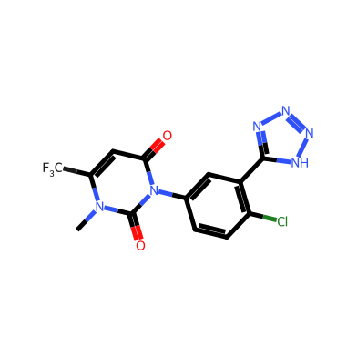 Cn1c(C(F)(F)F)cc(=O)n(-c2ccc(Cl)c(-c3nnn[nH]3)c2)c1=O